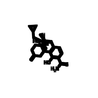 C=C1CC[C@@]2(O)[C@H]3Cc4ccc(C(N)=S)c(O)c4[C@@]2(CC[N+]3(C)CC2CC2)C1